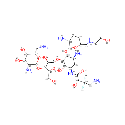 NC[C@@H]1O[C@H](O[C@H]2[C@@H](O)[C@H](O[C@@H]3[C@@H](O)[C@H](NC(=O)[C@@H](O)C(F)(F)CN)C[C@H](N)[C@H]3O[C@H]3O[C@H](CNCCO)CC[C@H]3N)O[C@@H]2CO)[C@H](N)[C@@H](O)[C@@H]1O